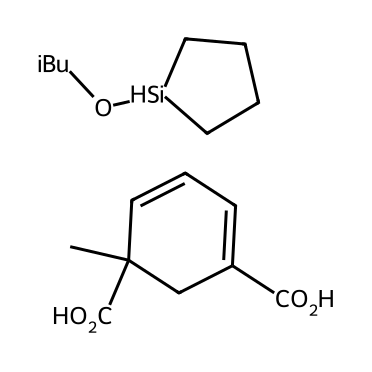 CC1(C(=O)O)C=CC=C(C(=O)O)C1.CCC(C)O[SiH]1CCCC1